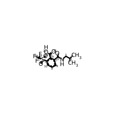 CC(C)CNC(=O)c1cccc(S(=O)(=O)C(F)(F)F)c1C(=O)O